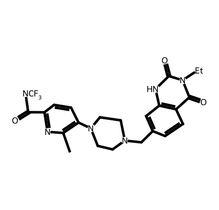 CCn1c(=O)[nH]c2cc(CN3CCN(c4ccc(C(=O)NC(F)(F)F)nc4C)CC3)ccc2c1=O